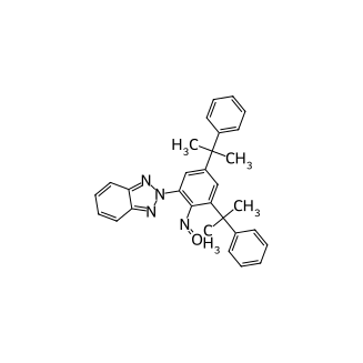 CC(C)(c1ccccc1)c1cc(-n2nc3ccccc3n2)c(N=O)c(C(C)(C)c2ccccc2)c1